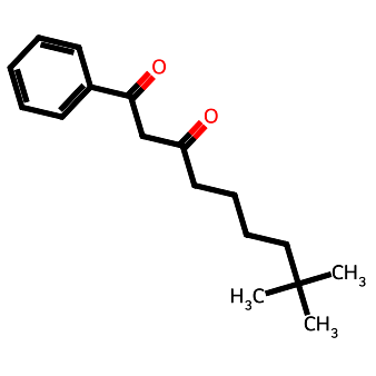 CC(C)(C)CCCCC(=O)CC(=O)c1ccccc1